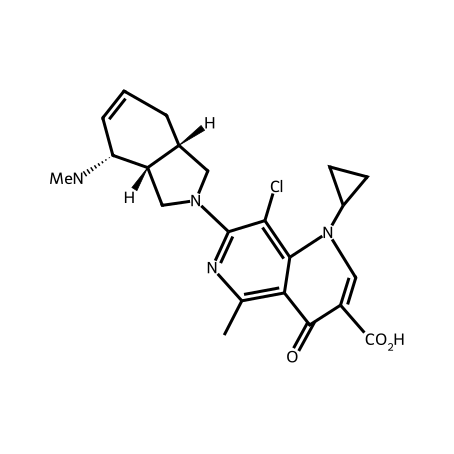 CN[C@@H]1C=CC[C@@H]2CN(c3nc(C)c4c(=O)c(C(=O)O)cn(C5CC5)c4c3Cl)C[C@@H]21